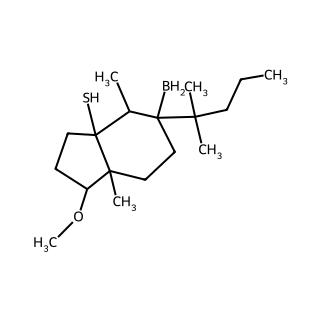 BC1(C(C)(C)CCC)CCC2(C)C(OC)CCC2(S)C1C